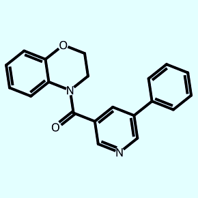 O=C(c1cncc(-c2ccccc2)c1)N1CCOc2ccccc21